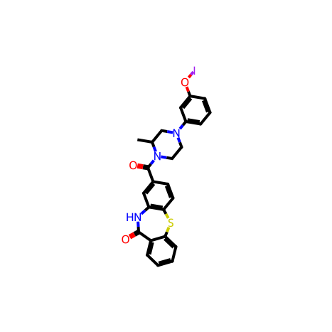 CC1CN(c2cccc(OI)c2)CCN1C(=O)c1ccc2c(c1)NC(=O)c1ccccc1S2